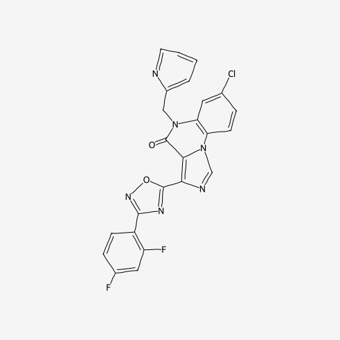 O=c1c2c(-c3nc(-c4ccc(F)cc4F)no3)ncn2c2ccc(Cl)cc2n1Cc1ccccn1